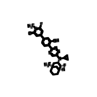 Cn1c(F)cc(-c2ccc(-c3ncc(N(C4CC4)[C@H]4C[C@]5(C)CCC[C@@H](C5)[C@H]4F)nn3)c(O)c2)cc1=O